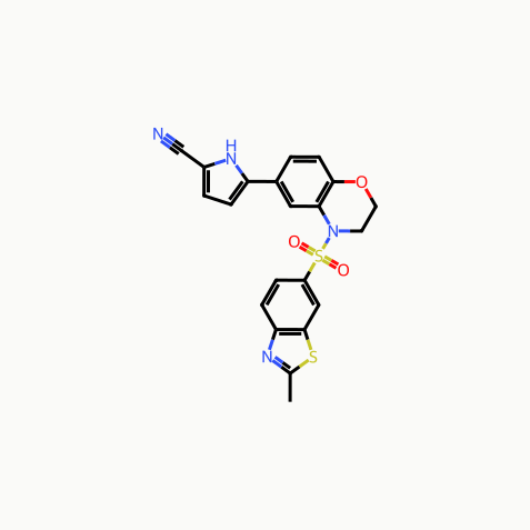 Cc1nc2ccc(S(=O)(=O)N3CCOc4ccc(-c5ccc(C#N)[nH]5)cc43)cc2s1